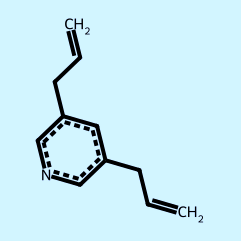 C=CCc1cncc(CC=C)c1